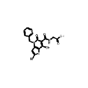 O=C(O)CNC(=O)c1c(O)c2sc(Br)cc2n(Cc2ccccc2)c1=O